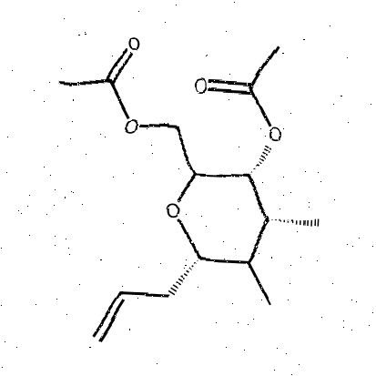 C=CC[C@@H]1OC(COC(C)=O)[C@H](OC(C)=O)[C@H](C)C1C